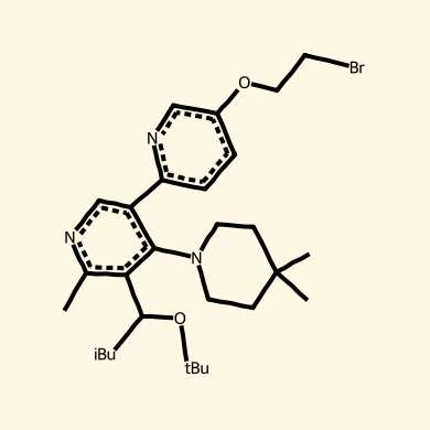 CCC(C)C(OC(C)(C)C)c1c(C)ncc(-c2ccc(OCCBr)cn2)c1N1CCC(C)(C)CC1